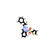 CC(F)(CNCc1ccccc1NS(=O)(=O)c1cccs1)C1CCCCC1